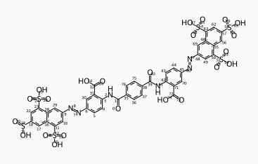 O=C(Nc1ccc(/N=N/c2cc(S(=O)(=O)O)c3cc(S(=O)O)cc(S(=O)(=O)O)c3c2)cc1C(=O)O)c1ccc(C(=O)Nc2ccc(/N=N/c3cc(S(=O)(=O)O)c4cc(S(=O)(=O)O)cc(S(=O)(=O)O)c4c3)cc2C(=O)O)cc1